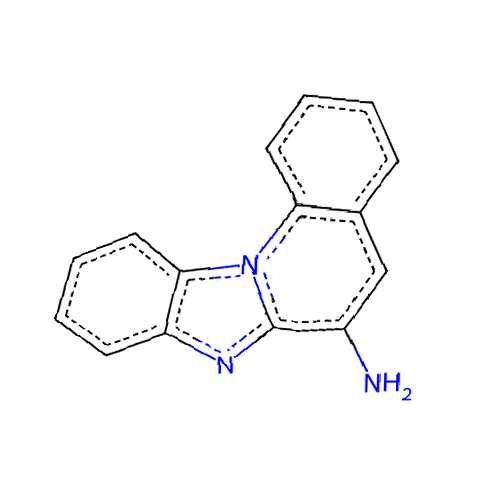 Nc1cc2ccccc2n2c1nc1ccccc12